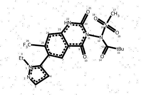 CCn1nccc1-c1cc2c(=O)n(N(C(=O)C(C)(C)C)S(C)(=O)=O)c(=O)[nH]c2cc1C(F)(F)F